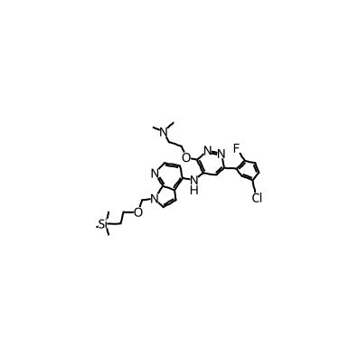 CN(C)CCOc1nnc(-c2cc(Cl)ccc2F)cc1Nc1ccnc2c1ccn2COCC[Si](C)(C)C